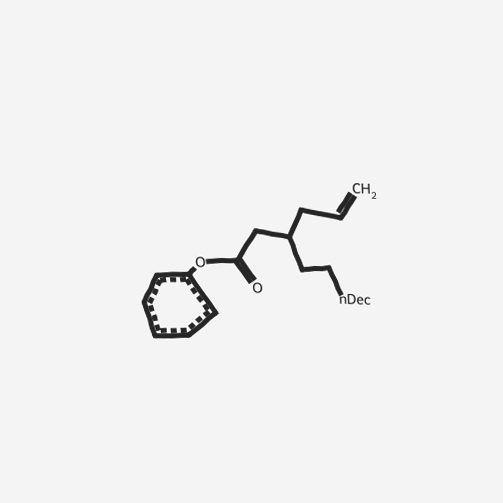 C=CCC(CCCCCCCCCCCC)CC(=O)Oc1ccccc1